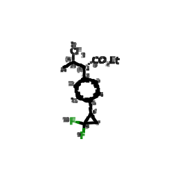 CCOC(=O)[C@H](c1ccc(C2CC2(F)F)cc1)[C@@H](C)C(F)(F)F